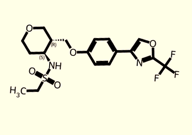 CCS(=O)(=O)N[C@H]1CCOC[C@@H]1COc1ccc(-c2coc(C(F)(F)F)n2)cc1